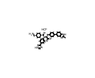 Cc1nc2cc(-c3ccc(C[C@@H](C(N)=O)N(c4ccc(-c5nn[nH]n5)cc4)C(=O)[C@H]4CC[C@H](CN)CC4)cc3)ccc2[nH]1.Cl